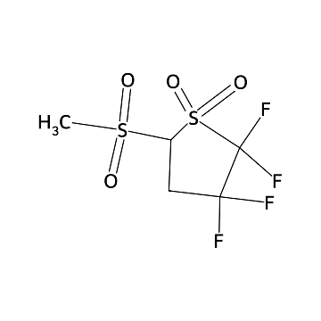 CS(=O)(=O)C1CC(F)(F)C(F)(F)S1(=O)=O